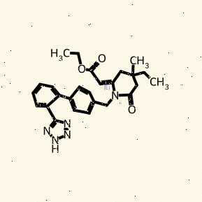 CCOC(=O)/C=C1\CC(C)(CC)CC(=O)N1Cc1ccc(-c2ccccc2-c2nn[nH]n2)cc1